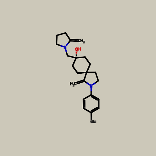 C=C1CCCN1C[C@]1(O)CC[C@]2(CCN(c3ccc(C(C)(C)C)cc3)C2=C)CC1